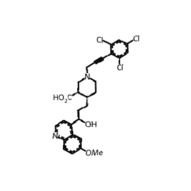 COc1ccc2nccc(C(O)CC[C@@H]3CCN(CC#Cc4c(Cl)cc(Cl)cc4Cl)C[C@@H]3C(=O)O)c2c1